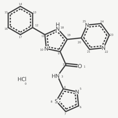 Cl.O=C(Nc1nccs1)c1nc(-c2ccccc2)[nH]c1-c1cnccn1